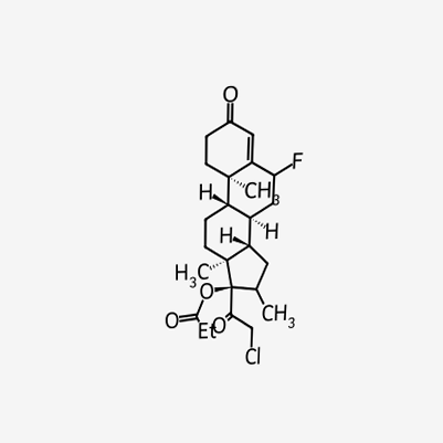 CCC(=O)O[C@]1(C(=O)CCl)C(C)C[C@H]2[C@@H]3CC(F)C4=CC(=O)CC[C@]4(C)[C@H]3CC[C@@]21C